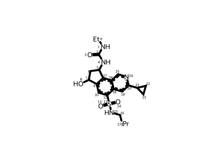 CCNC(=O)NC1CC(O)c2cc(S(=O)(=O)NCC(C)C)c3cc(C4CC4)ncc3c21